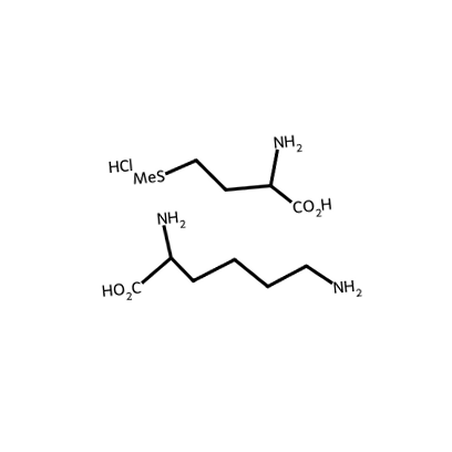 CSCCC(N)C(=O)O.Cl.NCCCCC(N)C(=O)O